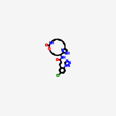 O=C(C=Cc1cc(Cl)ccc1-n1cnnn1)NC1CC=CCOC(=O)NC=CC=CC=Cc2c[nH]c1n2